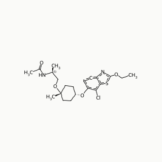 CCOc1nc2ccc(O[C@H]3CC[C@@](C)(OC[C@H](C)NC(C)=O)CC3)c(Cl)c2s1